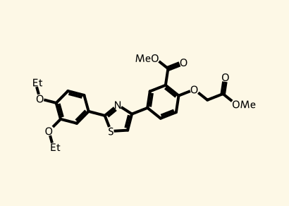 CCOc1ccc(-c2nc(-c3ccc(OCC(=O)OC)c(C(=O)OC)c3)cs2)cc1OCC